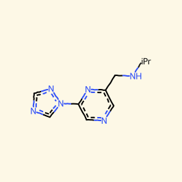 CC(C)NCc1cncc(-n2cncn2)n1